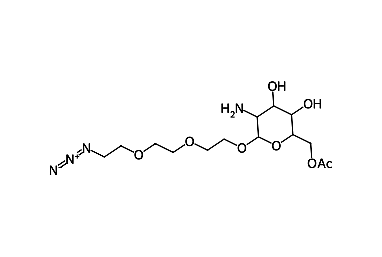 CC(=O)OCC1OC(OCCOCCOCCN=[N+]=[N-])C(N)C(O)C1O